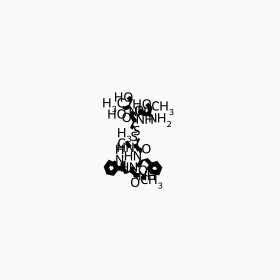 CCN[C@@H](CSSC[C@H](NC(=O)[C@@H](N)C(C)O)C(=O)N[C@H](CO)[C@@H](C)O)C(=O)N[C@@H](Cc1ccccc1)C(=O)N[C@H](Cc1c[nH]c2ccccc12)C(=O)NC